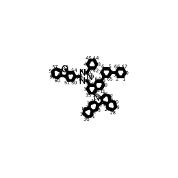 c1ccc(-c2cccc(-c3ccc4c(-n5c6cc7ccccc7cc6c6c7ccccc7ccc65)ccc(-c5nc(-c6ccccc6)nc(-c6ccc7c(c6)oc6ccccc67)n5)c4c3)c2)cc1